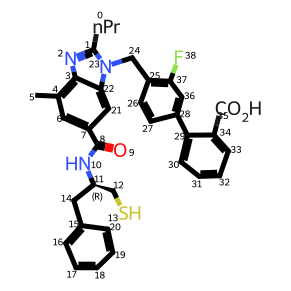 CCCc1nc2c(C)cc(C(=O)N[C@@H](CS)Cc3ccccc3)cc2n1Cc1ccc(-c2ccccc2C(=O)O)cc1F